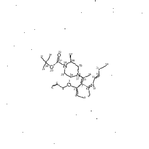 C\C=C(OCCC)/C(C(/C)=N\C=C\CC)=C(/C)N1CCN(C(=O)OC(C)(C)C)C(C)C1